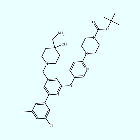 CC(C)(C)OC(=O)N1CCN(c2ccc(Oc3cc(CN4CCC(O)(CN)CC4)cc(-c4cc(Cl)cc(Cl)c4)n3)cn2)CC1